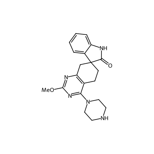 COc1nc2c(c(N3CCNCC3)n1)CCC1(C2)C(=O)Nc2ccccc21